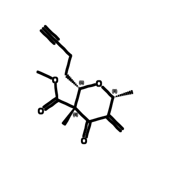 C#CCC[C@@H]1O[C@H](C)C(=C)C(=O)[C@]1(C)C(=O)OC